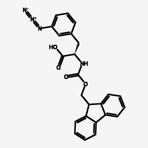 [N-]=[N+]=Nc1cccc(C[C@H](NC(=O)OCC2c3ccccc3-c3ccccc32)C(=O)O)c1